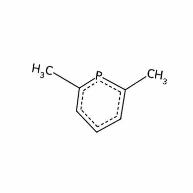 Cc1cccc(C)p1